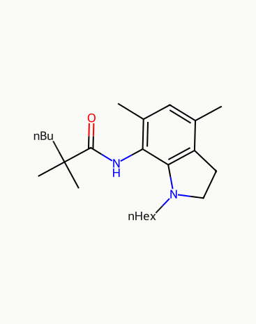 CCCCCCN1CCc2c(C)cc(C)c(NC(=O)C(C)(C)CCCC)c21